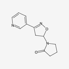 O=C1CCCN1C1CC(c2cccnc2)=NO1